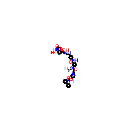 CN(C(=O)CCN1CCC(OC(=O)Nc2ccccc2-c2ccccc2)CC1)c1cccc(C(=O)Nc2ccc(CCNC[C@H](O)c3ccc(O)c4c3OCC(=O)N4)cc2)c1